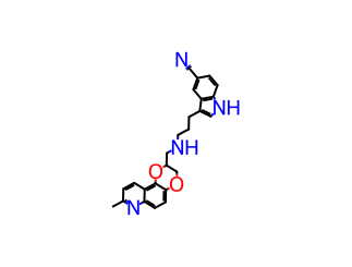 Cc1ccc2c3c(ccc2n1)OCC(CNCCCc1c[nH]c2ccc(C#N)cc12)O3